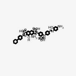 Nc1ccc(N=Nc2ccc(Nc3ccc(N=Nc4c(S(=O)(=O)O)cc5cc(S(=O)(=O)O)c(N=Nc6ccc(C7CCCCC7)cc6)c(O)c5c4N)cc3S(=O)(=O)O)cc2)c(O)c1